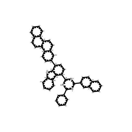 c1ccc(-c2nc(-c3ccc4ccccc4c3)nc(-c3ccc(-c4ccc5c(ccc6c7ccccc7ccc56)c4)c4oc5ccccc5c34)n2)cc1